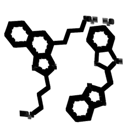 C(=C1Nc2ccccc2S1)c1nc2ccccc2s1.O.O=S(=O)(O)CCCc1nc2c(s1)c(CCCS(=O)(=O)O)cc1ccccc12